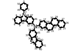 c1ccc(-n2c3ccccc3c3cc(N(c4ccc5c(ccc6c7ccccc7ccc56)c4)c4ccc5sc6ccccc6c5c4)ccc32)cc1